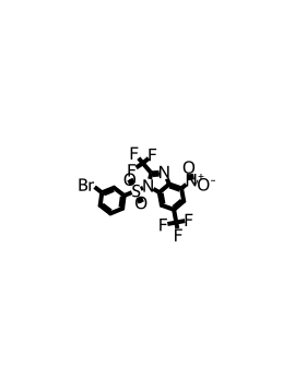 O=[N+]([O-])c1cc(C(F)(F)F)cc2c1nc(C(F)(F)F)n2S(=O)(=O)c1cccc(Br)c1